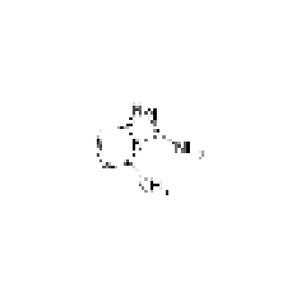 Cc1cccc2nnc(N)n12